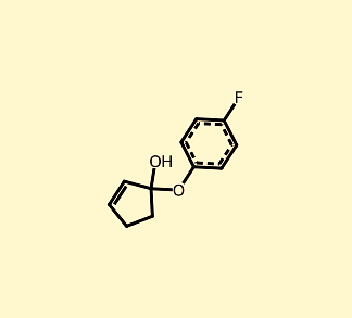 OC1(Oc2ccc(F)cc2)C=CCC1